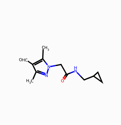 Cc1nn(CC(=O)NCC2CC2)c(C)c1C=O